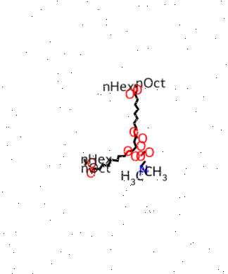 CCCCCCCCC(CCCCCC)OC(=O)CCCCCCCOC(=O)CC(OC(=O)OCCN(C)C)C(=O)OCCCCCCCC(=O)OC(CCCCCC)CCCCCCCC